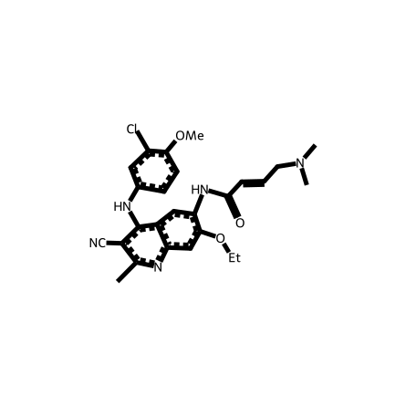 CCOc1cc2nc(C)c(C#N)c(Nc3ccc(OC)c(Cl)c3)c2cc1NC(=O)/C=C/CN(C)C